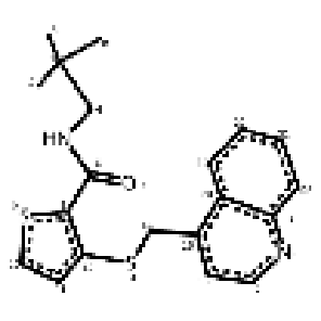 CC(C)(C)CNC(=O)c1sccc1SCc1ccnc2ccccc12